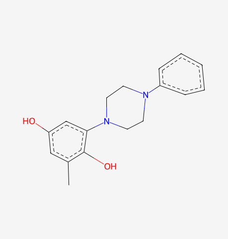 Cc1cc(O)cc(N2CCN(c3ccccc3)CC2)c1O